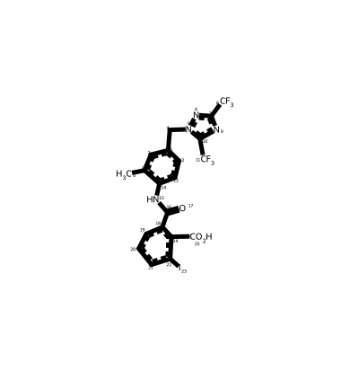 Cc1cc(Cn2nc(C(F)(F)F)nc2C(F)(F)F)ccc1NC(=O)c1cccc(I)c1C(=O)O